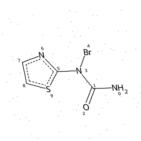 NC(=O)N(Br)c1nccs1